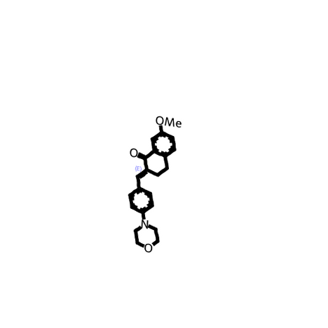 COc1ccc2c(c1)C(=O)/C(=C/c1ccc(N3CCOCC3)cc1)CC2